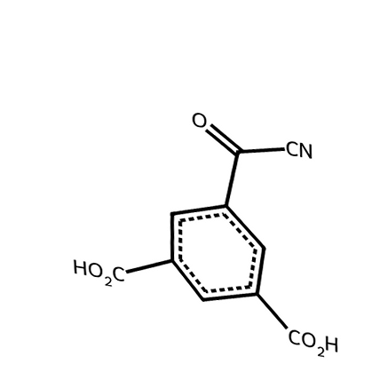 N#CC(=O)c1cc(C(=O)O)cc(C(=O)O)c1